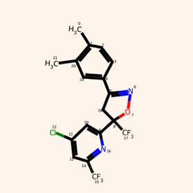 Cc1ccc(C2=NOC(c3cc(Cl)cc(C(F)(F)F)n3)(C(F)(F)F)C2)cc1C